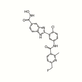 Cc1nc(CF)ccc1C(=O)Nc1ccc(Cl)c(-c2nc3cc(C(=O)NO)ccc3[nH]2)c1